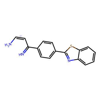 N=C(/C=C\N)c1ccc(-c2nc3ccccc3s2)cc1